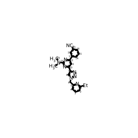 CCc1cccc(Cn2cc(-c3cc(-c4cccc(C#N)c4)nc(N(C)C)n3)nn2)n1